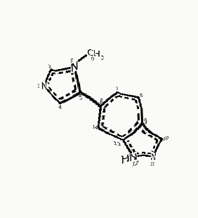 Cn1cncc1-c1ccc2cn[nH]c2c1